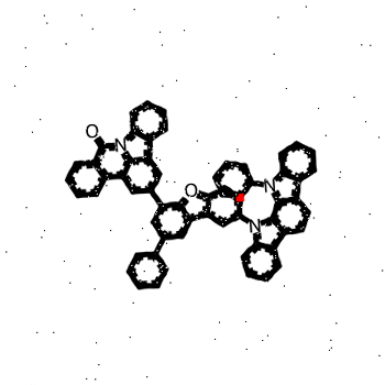 O=c1c2ccccc2c2cc(-c3cc(-c4ccccc4)cc4c3oc3ccc(-n5c6ccccc6c6ccc7c8ccccc8n(-c8ccccc8)c7c65)cc34)cc3c4ccccc4n1c23